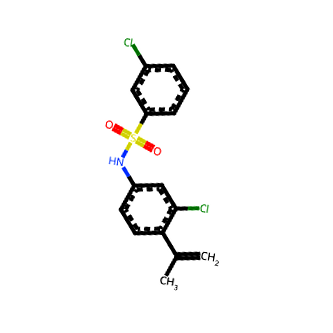 C=C(C)c1ccc(NS(=O)(=O)c2cccc(Cl)c2)cc1Cl